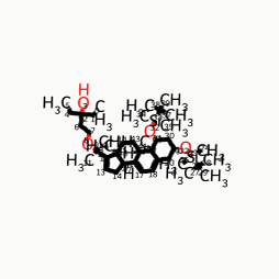 CCC(O)(CC)CCOC(C)(C)C1=CC[C@H]2C3=CC=C4C[C@@H](O[Si](C)(C)C(C)(C)C)C[C@H](O[Si](C)(C)C(C)(C)C)[C@]4(C)[C@H]3CC[C@]12C